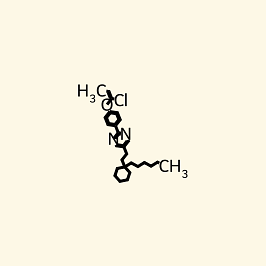 C/C=C(/Cl)Oc1ccc(-c2ncc(CCC3(CCCCCC)CCCCC3)cn2)cc1